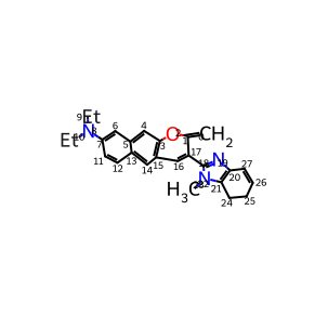 C=C1Oc2cc3cc(N(CC)CC)ccc3cc2C=C1c1nc2c(n1C)CCC=C2